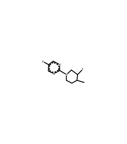 CC1CCN(c2ncc(F)cn2)CC1F